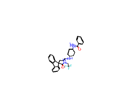 O=C(NC1CCC(NCCCC2(C(=O)NCC(F)(F)F)c3ccccc3-c3ccccc32)CC1)c1ccccc1